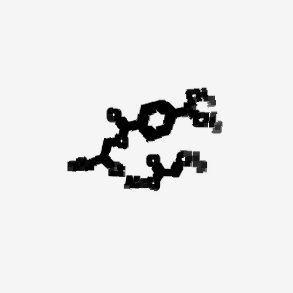 C=CC(=O)OC.CCCCC(CC)COC(=O)c1ccc(N(C)C)cc1